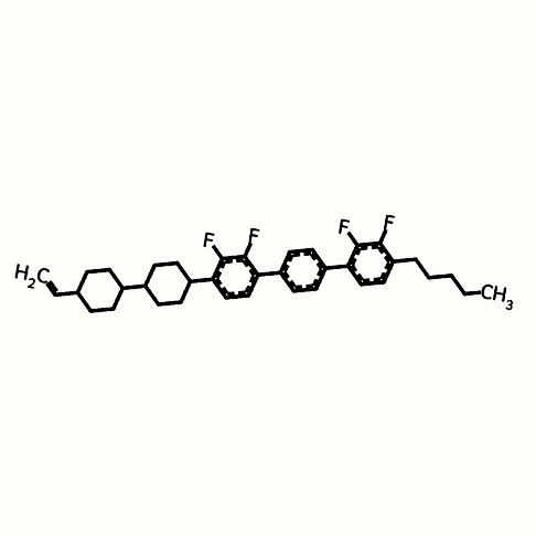 C=CC1CCC(C2CCC(c3ccc(-c4ccc(-c5ccc(CCCCC)c(F)c5F)cc4)c(F)c3F)CC2)CC1